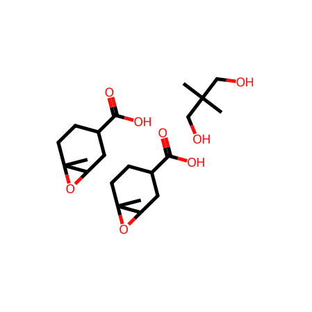 CC(C)(CO)CO.CC12CCC(C(=O)O)CC1O2.CC12CCC(C(=O)O)CC1O2